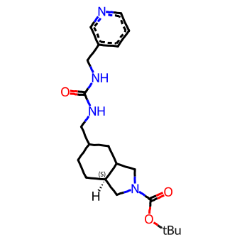 CC(C)(C)OC(=O)N1CC2CC(CNC(=O)NCc3cccnc3)CC[C@@H]2C1